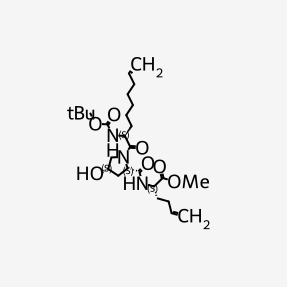 C=CCCCCC[C@H](NC(=O)OC(C)(C)C)C(=O)N1C[C@@H](O)C[C@H]1C(=O)N[C@@H](CCC=C)C(=O)OC